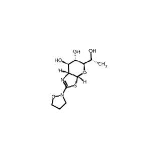 C[C@@H](O)[C@H]1O[C@@H]2SC(N3CCCO3)=N[C@@H]2[C@@H](O)[C@@H]1O